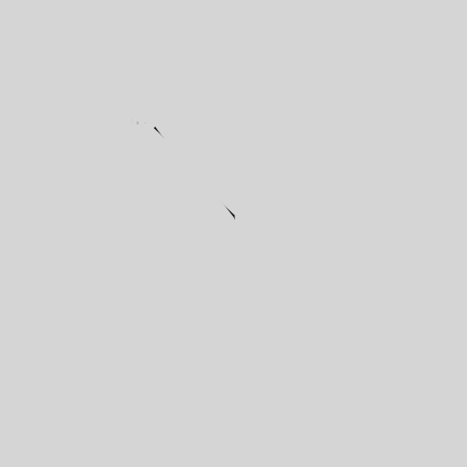 CCCC[C@H]1CC[C@@H](C(=O)Oc2ccc(F)c(F)c2)CC1